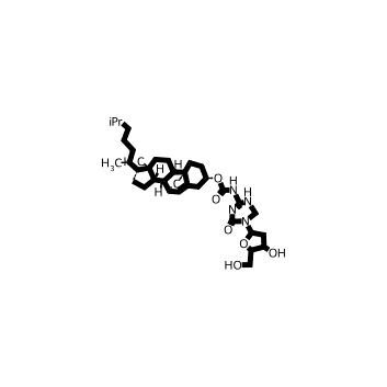 CC(C)CCC[C@@H](C)[C@H]1CC[C@H]2[C@@H]3CC=C4C[C@@H](OC(=O)NC5=NC(=O)N(C6CC(O)C(CO)O6)CN5)CC[C@]4(C)[C@H]3CC[C@]12C